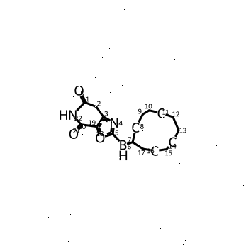 O=C1Cc2nc(BC3CCCCCCCCCC3)oc2C(=O)N1